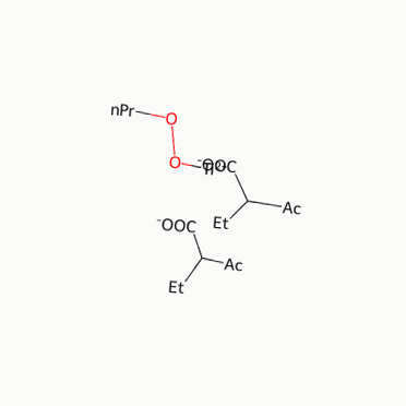 CCC(C(C)=O)C(=O)[O-].CCC(C(C)=O)C(=O)[O-].CCCO[O][Ti+2]